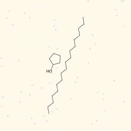 OC1CCCC1.[CH2]CCCCCCCCCCCCCCCCC